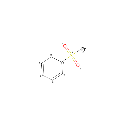 CC(C)S(=O)(=O)[C]1C=CC=CC1